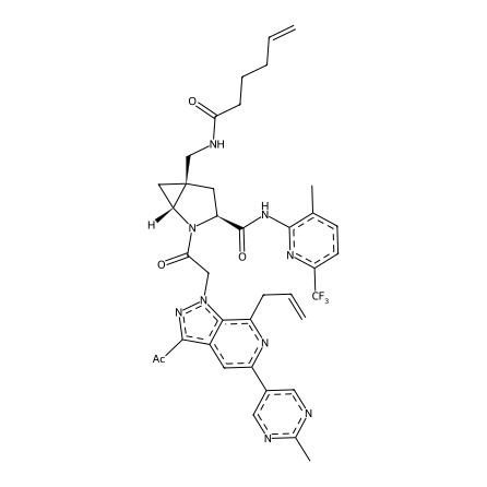 C=CCCCC(=O)NC[C@@]12C[C@@H](C(=O)Nc3nc(C(F)(F)F)ccc3C)N(C(=O)Cn3nc(C(C)=O)c4cc(-c5cnc(C)nc5)nc(CC=C)c43)[C@@H]1C2